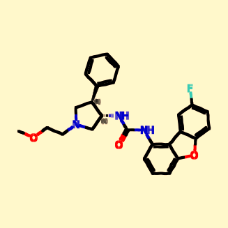 COCCN1C[C@@H](NC(=O)Nc2cccc3oc4ccc(F)cc4c23)[C@H](c2ccccc2)C1